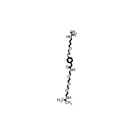 CC(C)NCCOCCOCCOCCNC(=O)Cc1ccc(SSCOCCCCNS(C)=S)cc1